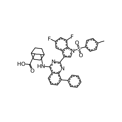 Cc1ccc(S(=O)(=O)n2cc(-c3nc(NC4C5CCC(CC5)C4C(=O)O)c4cccc(-c5ccccc5)c4n3)c3cc(F)cc(F)c32)cc1